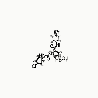 Br.CC(C)N1CCC(NC(=O)c2cc(C(=O)O)nn2CC(=O)Nc2ccc(Cl)cn2)CC1